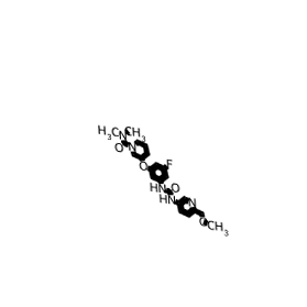 COCc1ccc(NC(=O)Nc2cc(F)cc(OC3CCCN(C(=O)N(C)C)C3)c2)cn1